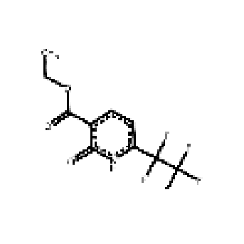 CCOC(=O)c1ccc(C(F)(F)C(F)(F)F)[nH]c1=O